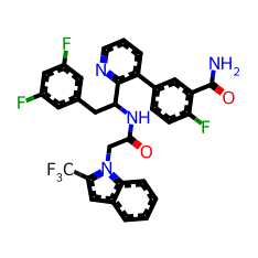 NC(=O)c1cc(-c2cccnc2C(Cc2cc(F)cc(F)c2)NC(=O)Cn2c(C(F)(F)F)cc3ccccc32)ccc1F